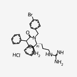 Cl.N=C(N)NCCC[C@H](C(N)=O)N(Cc1ccc(Br)cc1)C(=O)C(c1ccccc1)c1ccccc1